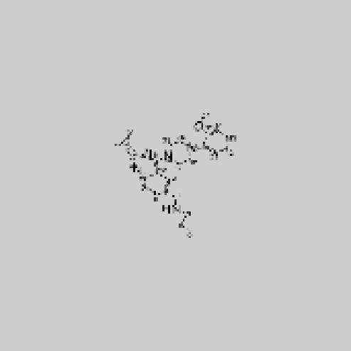 CCCNCc1ccc2nc(C3CC3)nc(N3CCN(c4ccccc4OC)CC3)c2c1